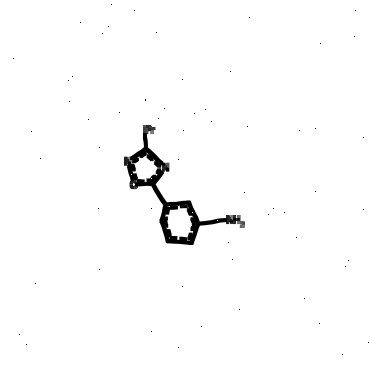 CC(C)c1noc(-c2cccc(N)c2)n1